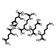 N=C(N)NCCCC(N)C(=O)O.NC(=O)CCC(N)C(=O)O.NC(CCC(=O)O)C(=O)O.NC(Cc1c[nH]cn1)C(=O)O.NCCCCC(N)C(=O)O